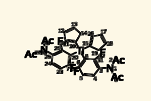 CC(=O)N(C(C)=O)c1ccc(F)[c]([Ti]([C]2=CC=CC2)([C]2=CC=CC2)[c]2c(F)ccc(N(C(C)=O)C(C)=O)c2F)c1F